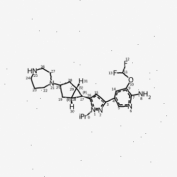 CC(C)n1nc(-c2cnc(N)c(OC(F)F)c2)cc1[C@H]1[C@@H]2CC(N3CCCNCC3)C[C@@H]21